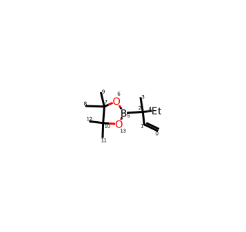 C=CC(C)(CC)B1OC(C)(C)C(C)(C)O1